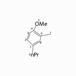 CCCc1ccc(OC)c(C)c1